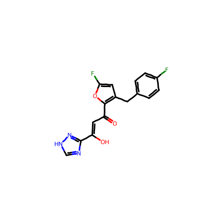 O=C(C=C(O)c1nc[nH]n1)c1oc(F)cc1Cc1ccc(F)cc1